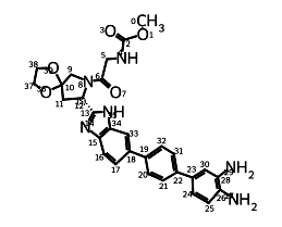 COC(=O)NCC(=O)N1CC2(C[C@H]1c1nc3ccc(-c4ccc(-c5ccc(N)c(N)c5)cc4)cc3[nH]1)OCCO2